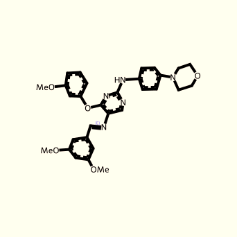 COc1cc(/C=N/c2cnc(Nc3ccc(N4CCOCC4)cc3)nc2Oc2cccc(OC)c2)cc(OC)c1